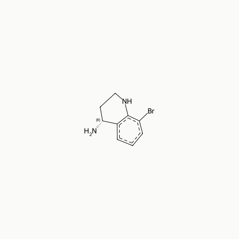 N[C@@H]1CCNc2c(Br)cccc21